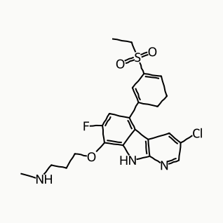 CCS(=O)(=O)C1=CCCC(c2cc(F)c(OCCCNC)c3[nH]c4ncc(Cl)cc4c23)=C1